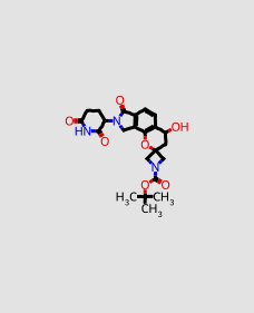 CC(C)(C)OC(=O)N1CC2(CC(O)c3ccc4c(c3O2)CN(C2CCC(=O)NC2=O)C4=O)C1